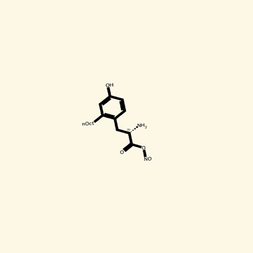 CCCCCCCCc1cc(O)ccc1C[C@H](N)C(=O)ON=O